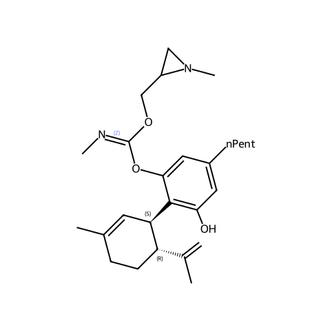 C=C(C)[C@@H]1CCC(C)=C[C@H]1c1c(O)cc(CCCCC)cc1O/C(=N\C)OCC1CN1C